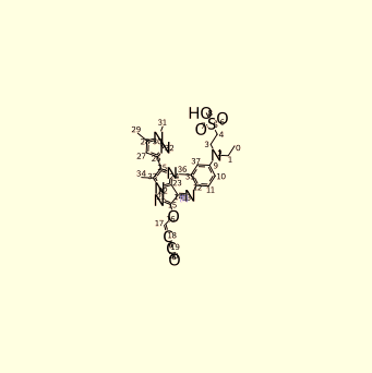 CCN(CCS(=O)(=O)O)c1ccc(/N=C2/C(OC=C=C=O)=Nn3c2nc(-c2cc(C)n(C)n2)c3C)c(C)c1